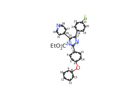 CCOC(=O)n1c(-c2ccc(Oc3ccccc3)cc2)nc(-c2ccc(F)cc2)c1-c1ccncc1